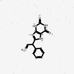 C=CC(c1ccccc1)c1nc2[nH]c(=O)[nH]c(=O)c2[nH]1